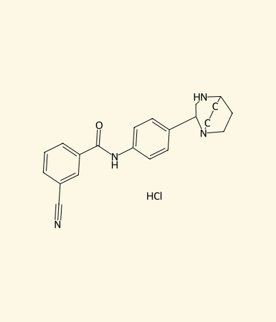 Cl.N#Cc1cccc(C(=O)Nc2ccc(C3CNC4CCN3CC4)cc2)c1